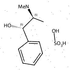 CN[C@@H](C)[C@@H](O)c1ccccc1.O=S(=O)(O)O